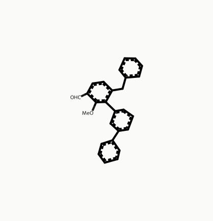 COc1c(C=O)ccc(Cc2ccccc2)c1-c1cccc(-c2ccccc2)c1